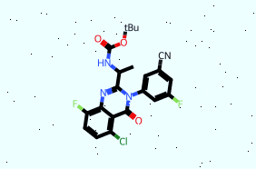 CC(NC(=O)OC(C)(C)C)c1nc2c(F)ccc(Cl)c2c(=O)n1-c1cc(F)cc(C#N)c1